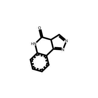 O=C1Nc2ccccc2C2=NN=CC12